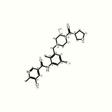 Cc1ncc(C(=O)Nc2cc(F)cc(CN3CCN(C(=O)[C@H]4CCOC4)[C@@H](C)C3)c2C)cc1Cl